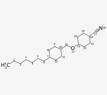 CCCCCCCC1CCC(COC2CCC(C#N)CC2)CC1